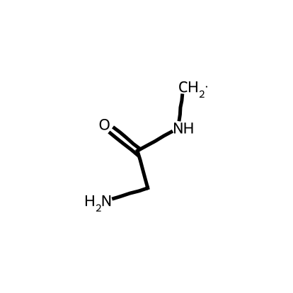 [CH2]NC(=O)CN